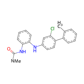 CNC(=O)Nc1ccccc1Nc1ccc(-c2ccccc2C)c(Cl)c1